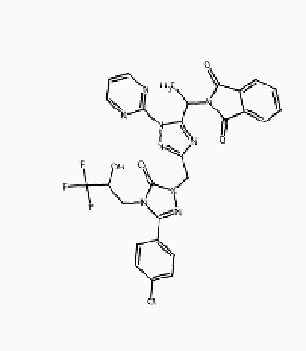 CC(c1nc(Cn2nc(-c3ccc(Cl)cc3)n(CC(O)C(F)(F)F)c2=O)nn1-c1ncccn1)N1C(=O)c2ccccc2C1=O